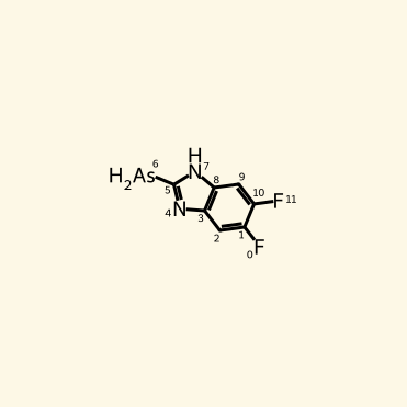 Fc1cc2nc([AsH2])[nH]c2cc1F